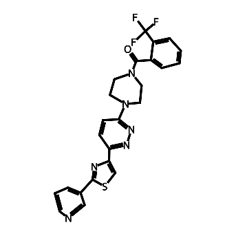 O=C(c1ccccc1C(F)(F)F)N1CCN(c2ccc(-c3csc(-c4cccnc4)n3)nn2)CC1